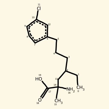 CCC(CCCc1cccc(Cl)c1)CC(C)(N)C(=O)O